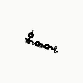 COC(=O)CCc1ccc(NCc2ccc(OCc3cnn(C)c3-c3ccc(F)cc3)cc2)cc1